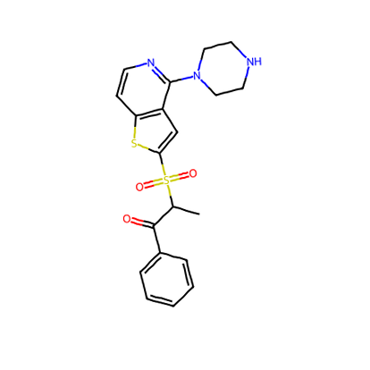 CC(C(=O)c1ccccc1)S(=O)(=O)c1cc2c(N3CCNCC3)nccc2s1